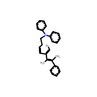 CC/C=C(\C=C/CCN(c1ccccc1)c1ccccc1)C(/C)=C(\C)c1ccccc1